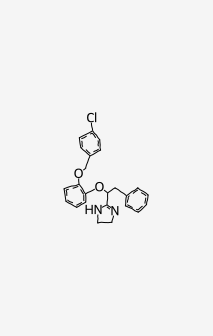 Clc1ccc(COc2ccccc2OC(Cc2ccccc2)C2=NCCN2)cc1